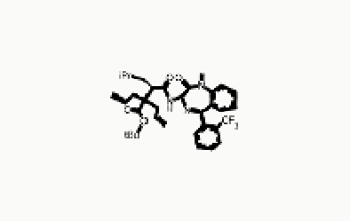 C=CCC(CC=C)(C(=O)OC(C)(C)C)[C@@H](CC(C)C)C(=O)NC1N=C(c2ccccc2C(F)(F)F)c2ccccc2N(C)C1=O